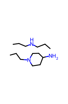 CCCN1CCC(N)CC1.CCCNCCC